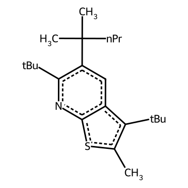 CCCC(C)(C)c1cc2c(C(C)(C)C)c(C)sc2nc1C(C)(C)C